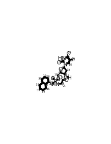 COC(=O)[C@H](C)NP(=O)(OC[C@H]1O[C@@H](n2cc(F)c(=O)[nH]c2=O)CC1O)Oc1cccc2ccccc12